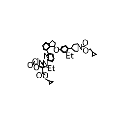 CCc1cc(O[C@H]2CCc3cccc(-c4cccc(-n5nc(OC(=O)Cl)c(C(=O)OCC6CC6)c5CC)n4)c32)ccc1C1CCN(C(=O)OCC2CC2)CC1